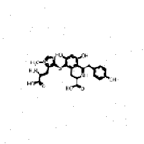 Cn1cnc(Sc2c(O)cc(O)c3c2C[C@H](C(=O)O)N[C@@H]3Cc2ccc(O)cc2)c1C[C@H](N)C(=O)O